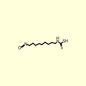 O=C=NCCCCCCCCCNC(=S)S